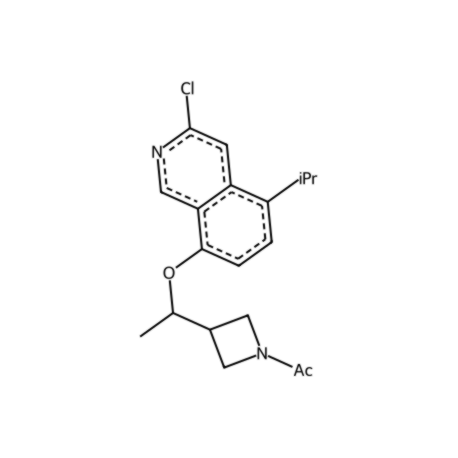 CC(=O)N1CC(C(C)Oc2ccc(C(C)C)c3cc(Cl)ncc23)C1